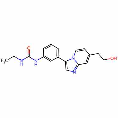 O=C(NCC(F)(F)F)Nc1cccc(-c2cnc3cc(CCO)ccn23)c1